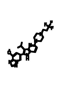 COc1cc(-c2[nH]c3ccc(N4CCN(CCC(F)(F)F)CC4)nc3c2C(C)C)cn2ncnc12